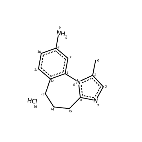 Cc1cnc2n1-c1cc(N)ccc1CCC2.Cl